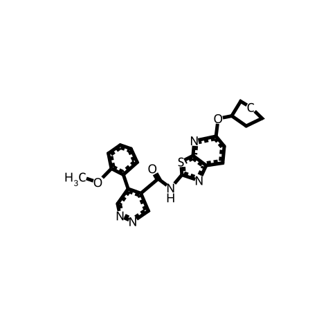 COc1ccccc1-c1cnncc1C(=O)Nc1nc2ccc(OC3CCCC3)nc2s1